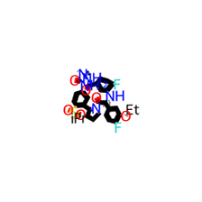 CCOc1cc([C@H](Nc2cc(C(N)=O)ccc2F)C(=O)N2CCCC2c2cc(NC(=O)N(C)C)ccc2S(=O)(=O)C(C)C)ccc1F